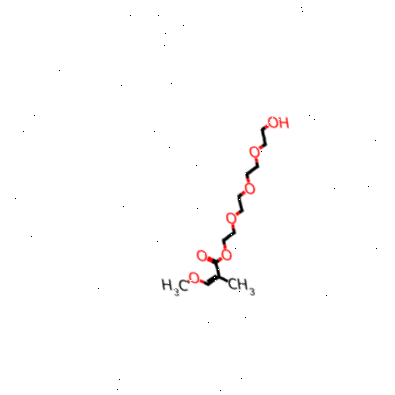 COC=C(C)C(=O)OCCOCCOCCOCCO